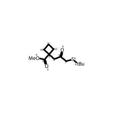 COC(=O)C1(CC(=O)CSC(C)(C)C)CCC1